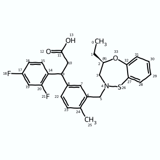 CC[C@@H]1CN(Cc2cc(C(CC(=O)O)c3ccc(F)cc3F)ccc2C)Sc2ccccc2O1